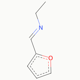 CCN=Cc1ccco1